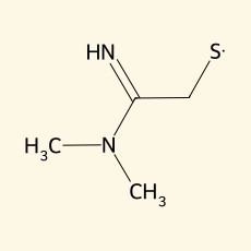 CN(C)C(=N)C[S]